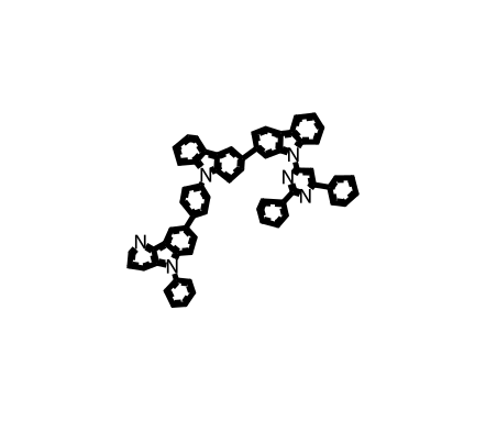 c1ccc(-c2cc(-n3c4ccccc4c4ccc(-c5ccc6c(c5)c5ccccc5n6-c5ccc(-c6ccc7c(c6)c6ncccc6n7-c6ccccc6)cc5)cc43)nc(-c3ccccc3)n2)cc1